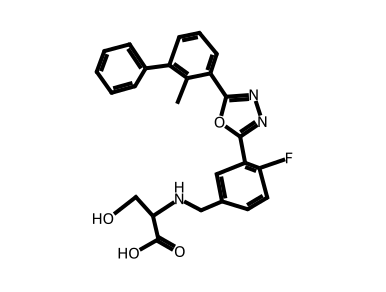 Cc1c(-c2ccccc2)cccc1-c1nnc(-c2cc(CNC(CO)C(=O)O)ccc2F)o1